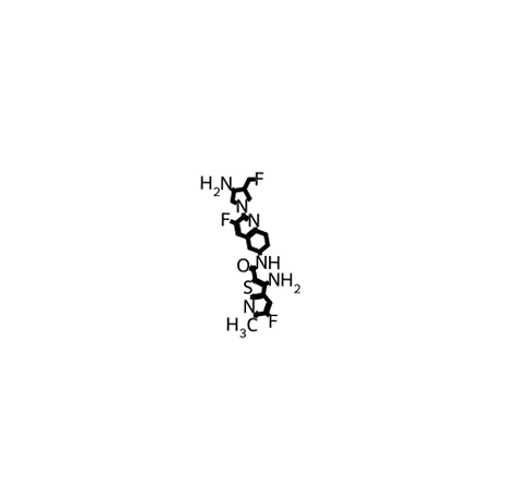 Cc1nc2sc(C(=O)NC3CCc4nc(N5CC(N)C(CF)C5)c(F)cc4C3)c(N)c2cc1F